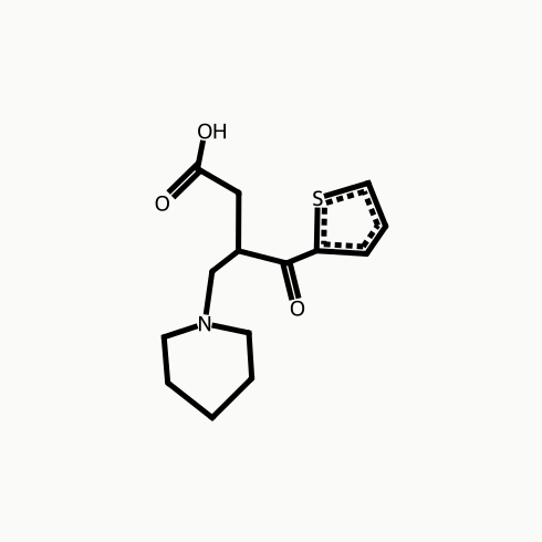 O=C(O)CC(CN1CCCCC1)C(=O)c1cccs1